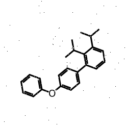 CC(C)c1cccc(-c2[c]cc(Oc3ccccc3)cc2)c1C(C)C